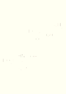 C=C/C=C\C(=C(/C)OCCCC(O)Nc1ccccc1C(=O)O)C(C)CC